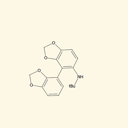 CC(C)(C)Nc1ccc2c(c1-c1cccc3c1OCO3)OCO2